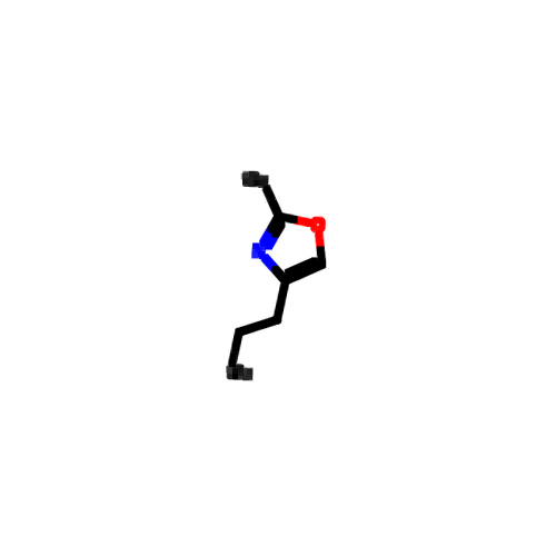 CC(C)(C)CCc1coc(C(C)(C)C)n1